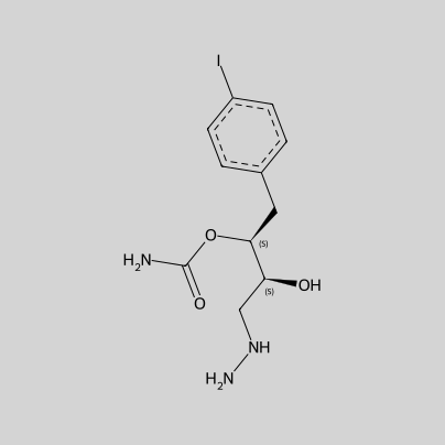 NNC[C@H](O)[C@H](Cc1ccc(I)cc1)OC(N)=O